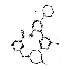 Cc1ccnc(-c2cc(N3CCCCC3)ccc2NC(=O)c2cccc(CN3CCCN(C)CC3)c2)c1